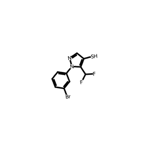 FC(F)c1c(S)cnn1-c1cccc(Br)c1